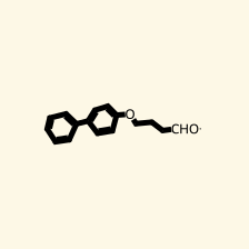 O=[C]CCCOc1ccc(-c2ccccc2)cc1